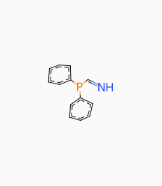 N=CP(c1ccccc1)c1ccccc1